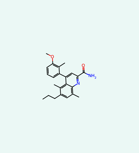 CCCc1cc(C)c2nc(C(N)=O)cc(-c3cccc(OC)c3C)c2c1C